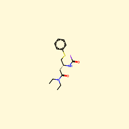 CCN(CC)C(=O)C[C@H](CSc1ccccc1)NC(=O)I